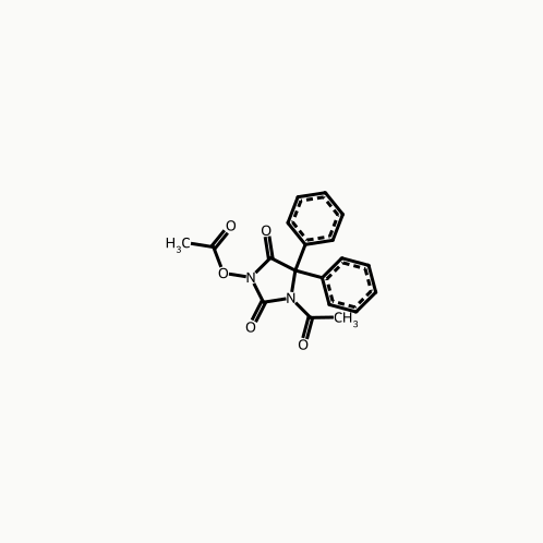 CC(=O)ON1C(=O)N(C(C)=O)C(c2ccccc2)(c2ccccc2)C1=O